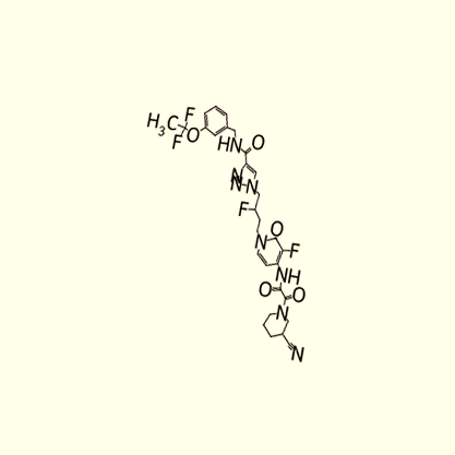 CC(F)(F)Oc1cccc(CNC(=O)c2cn(CC(F)CCn3ccc(NC(=O)C(=O)N4CCCC(C#N)C4)c(F)c3=O)nn2)c1